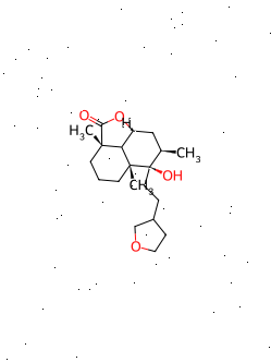 C[C@@H]1C[C@H]2OC(=O)[C@@]3(C)CCC[C@](C)(C23)[C@@]1(O)CCC1CCOC1